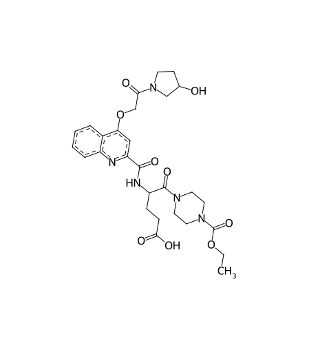 CCOC(=O)N1CCN(C(=O)C(CCC(=O)O)NC(=O)c2cc(OCC(=O)N3CCC(O)C3)c3ccccc3n2)CC1